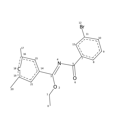 CCO/C(=N\C(=O)c1cccc(Br)c1)c1cc(C)cc(C)c1